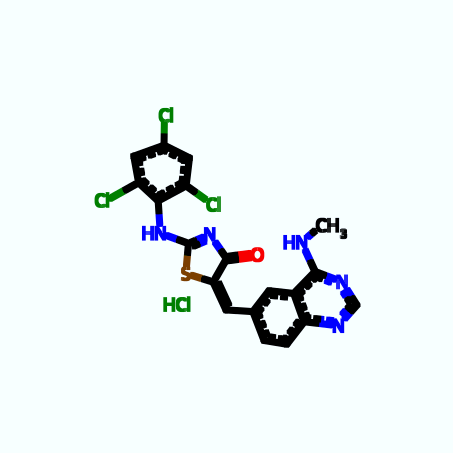 CNc1ncnc2ccc(C=C3SC(Nc4c(Cl)cc(Cl)cc4Cl)=NC3=O)cc12.Cl